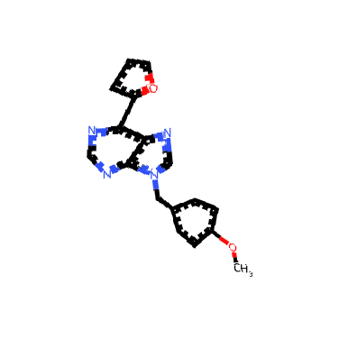 COc1ccc(Cn2cnc3c(-c4ccco4)ncnc32)cc1